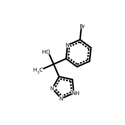 CC(O)(c1c[nH]nn1)c1cccc(Br)n1